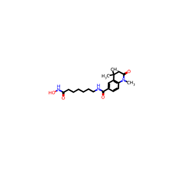 CN1C(=O)CC(C)(C)c2cc(C(=O)NCCCCCCC(=O)NO)ccc21